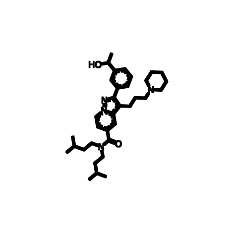 CC(C)CCN(CCC(C)C)C(=O)c1ccn2nc(-c3cccc(C(C)O)c3)c(CCCN3CCCCC3)c2c1